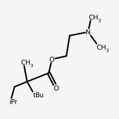 CC(C)CC(C)(C(=O)OCCN(C)C)C(C)(C)C